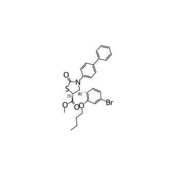 CCCCOc1cc(Br)ccc1[C@@H]1[C@@H](C(=O)OC)SC(=O)N1c1ccc(-c2ccccc2)cc1